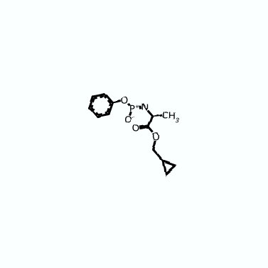 C[C@H](N=[P+]([O-])Oc1ccccc1)C(=O)OCC1CC1